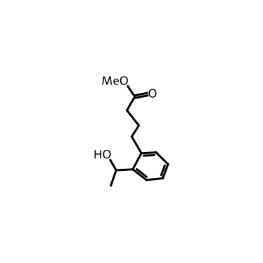 COC(=O)CCCc1ccccc1C(C)O